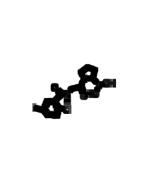 O=C(NCC(=O)N1CCCC1B(O)O)c1cc(I)ccc1Cl